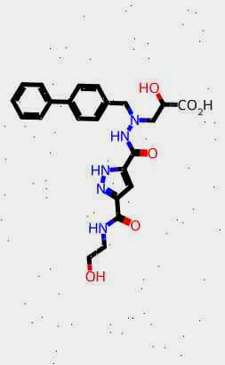 O=C(NCCO)c1cc(C(=O)NN(Cc2ccc(-c3ccccc3)cc2)CC(O)C(=O)O)[nH]n1